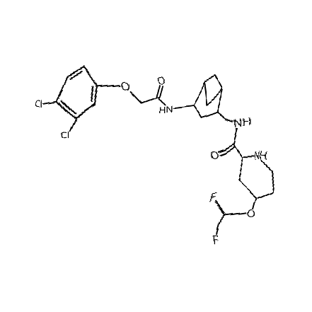 O=C(COc1ccc(Cl)c(Cl)c1)NC1CC(NC(=O)C2CC(OC(F)F)CCN2)C2CC1C2